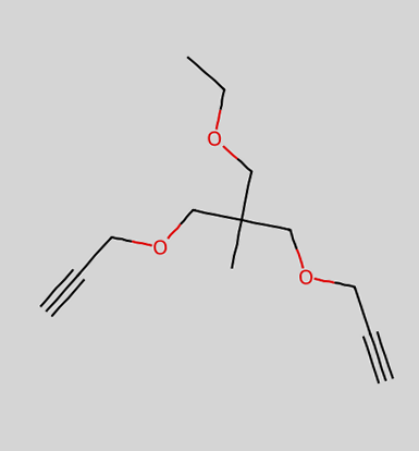 C#CCOCC(C)(COCC)COCC#C